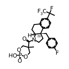 CC1(C(=O)N2CC[C@@]3(Cc4ccc(F)cc4)c4ccc(C(C)(F)C(F)(F)F)cc4CC[C@@H]23)COP(=O)(O)OC1